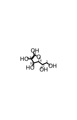 OC[C@H](O)[C@H]1OC(O)=C(O)C1O